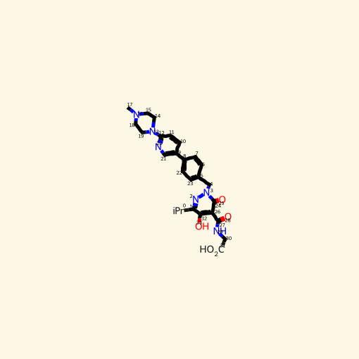 CC(C)c1nn(Cc2ccc(-c3ccc(N4CCN(C)CC4)nc3)cc2)c(=O)c(C(=O)NCC(=O)O)c1O